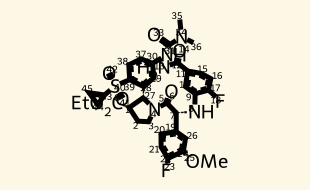 CCOC(=O)[C@H]1CCN(C(=O)[C@H](Nc2cc(C(N)=O)ccc2F)c2ccc(F)c(OC)c2)[C@H]1c1cc(NC(=O)N(C)C)ccc1S(=O)(=O)C1CC1